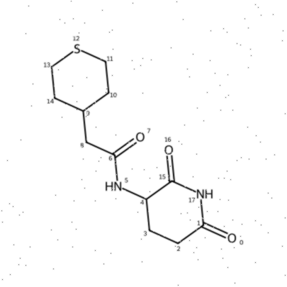 O=C1CCC(NC(=O)CC2CCSCC2)C(=O)N1